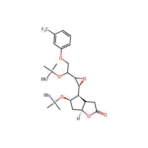 CC(C)(C)[Si](C)(C)OC(COc1cccc(C(F)(F)F)c1)C1O[C@H]1[C@H]1C2CC(=O)O[C@H]2C[C@H]1O[Si](C)(C)C(C)(C)C